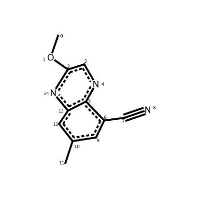 COc1cnc2c(C#N)cc(C)cc2n1